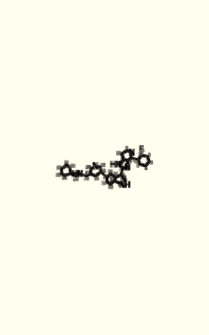 Fc1ccccc1-c1nccc2[nH]c(-c3n[nH]c4ccc(-c5cncc(CNCc6ccccc6)c5)cc34)nc12